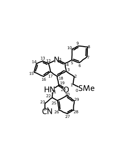 CSCCc1c(-c2ccccc2)nc2ccccc2c1C(=O)NC(CC#N)c1ccccc1